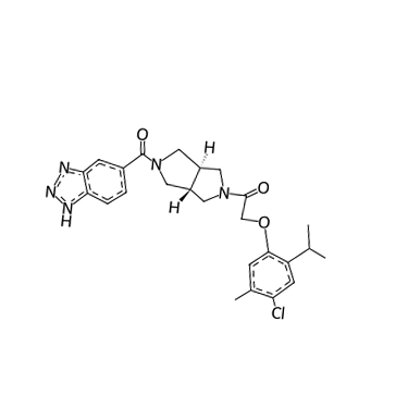 Cc1cc(OCC(=O)N2C[C@@H]3CN(C(=O)c4ccc5[nH]nnc5c4)C[C@H]3C2)c(C(C)C)cc1Cl